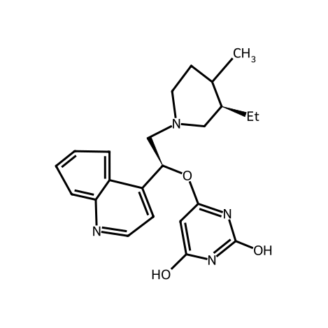 CC[C@H]1CN(C[C@@H](Oc2cc(O)nc(O)n2)c2ccnc3ccccc23)CCC1C